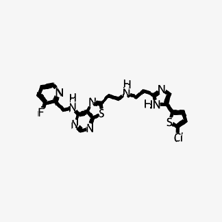 Fc1cccnc1CNc1ncnc2sc(CCNCCc3ncc(-c4ccc(Cl)s4)[nH]3)nc12